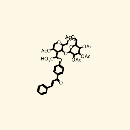 CC(=O)OCC1OC(OC2C(COC(C)=O)OCC(OC(C)=O)C2C(Oc2ccc(C(=O)C=Cc3ccccc3)cc2)C(=O)O)C(OC(C)=O)C(OC(C)=O)C1OC(C)=O